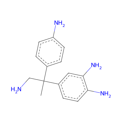 CC(CN)(c1ccc(N)cc1)c1ccc(N)c(N)c1